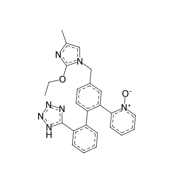 CCOc1nc(C)cn1Cc1ccc(-c2ccccc2-c2nnn[nH]2)c(-c2cccc[n+]2[O-])c1